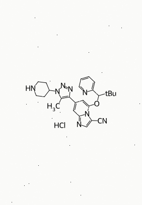 Cc1c(-c2cc(OC(c3ccccn3)C(C)(C)C)n3c(C#N)cnc3c2)nnn1C1CCNCC1.Cl